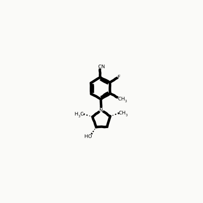 Cc1c(N2[C@H](C)C[C@H](O)[C@@H]2C)ccc(C#N)c1F